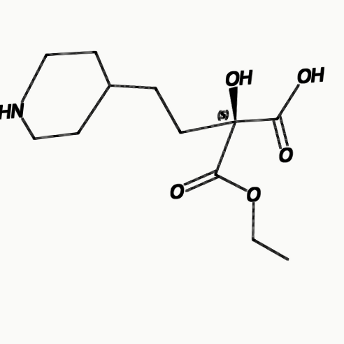 CCOC(=O)[C@](O)(CCC1CCNCC1)C(=O)O